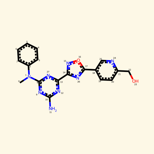 CN(c1ccccc1)c1nc(N)nc(-c2noc(-c3ccc(CO)nc3)n2)n1